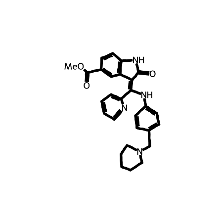 COC(=O)c1ccc2c(c1)/C(=C(/Nc1ccc(CN3CCCCC3)cc1)c1ccccn1)C(=O)N2